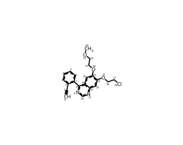 C#Cc1c[c]ccc1-c1ncnc2cc(OCCCl)c(OCCOC)cc12